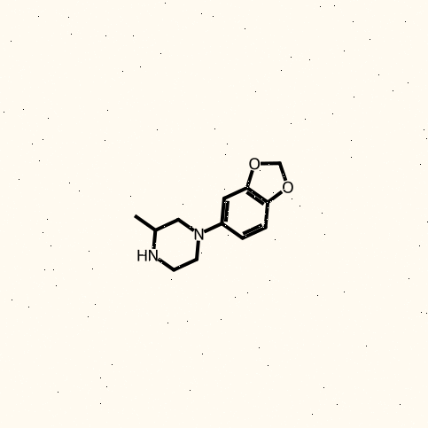 CC1CN(c2ccc3c(c2)OCO3)CCN1